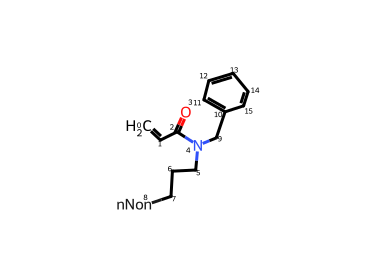 C=CC(=O)N(CCCCCCCCCCCC)Cc1ccccc1